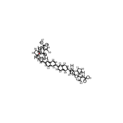 COC(=O)N[C@H](C(=O)N1CCC[C@H]1c1ncc(-c2ccc3cc(-c4ccc5cc(-c6cnc([C@@H]7[C@H]8CC[C@H](C8)N7C(=O)[C@@H](NC(=O)OC)C(C)C)[nH]6)ccc5c4)ccc3c2)[nH]1)C(C)C